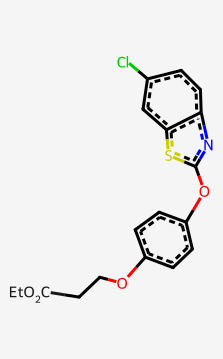 CCOC(=O)CCOc1ccc(Oc2nc3ccc(Cl)cc3s2)cc1